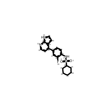 O=S(=O)(Nc1ccc(-c2ccnc3[nH]ccc23)cc1F)C1CCCCC1